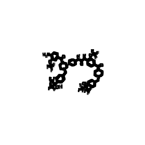 Nc1ccc(C(=O)N2CCN(Cc3ccc(C(O)(C(F)(F)F)C(F)(F)F)cc3)CC2)cc1OC(F)(F)F.O=C(Nc1ccncc1)Nc1ccc(C(=O)N2CCN(Cc3ccc(C(O)(C(F)(F)F)C(F)(F)F)cc3)CC2)cc1OC(F)(F)F